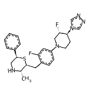 C[C@@H]1NC[C@@H](c2ccccc2)SC1Cc1ccc(N2CC[C@H](n3cnnc3)[C@@H](F)C2)cc1F